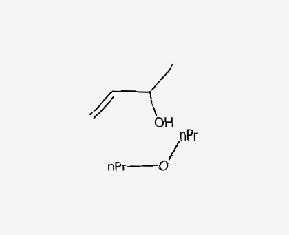 C=CC(C)O.CCCOCCC